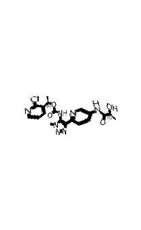 C[C@H](O)C(=O)Nc1ccc(-c2nnn(C)c2NC(=O)O[C@H](C)c2cccnc2Cl)nc1